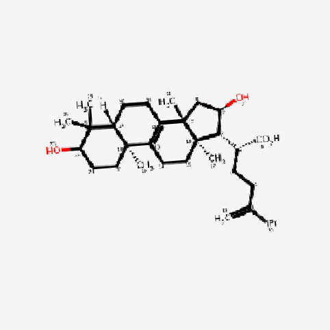 C=C(CC[C@@H](C(=O)O)[C@H]1[C@H](O)C[C@@]2(C)C3=C(CC[C@]12C)[C@@]1(C)CCC(O)C(C)(C)[C@@H]1CC3)C(C)C